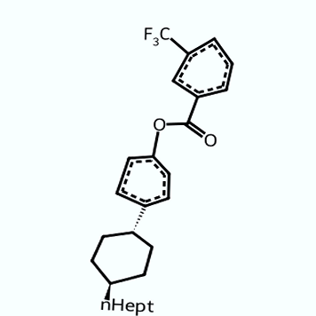 CCCCCCC[C@H]1CC[C@H](c2ccc(OC(=O)c3cccc(C(F)(F)F)c3)cc2)CC1